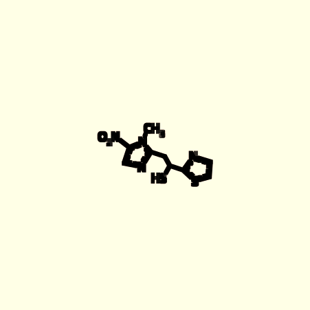 Cn1c([N+](=O)[O-])cnc1CC(S)c1nccs1